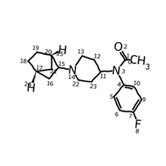 CC(=O)N(c1ccc(F)cc1)C1CCN(C2C[C@@H]3CC[C@H]2C3)CC1